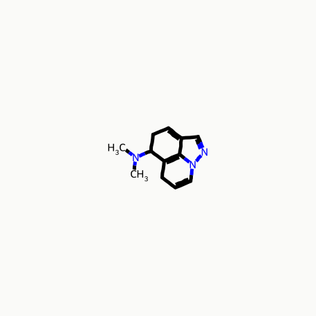 CN(C)C1CC=c2cnn3c2=C1CC=C3